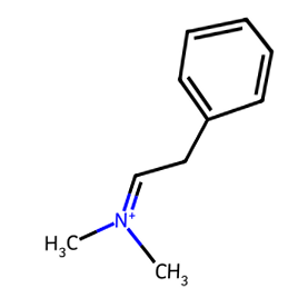 C[N+](C)=CCc1ccccc1